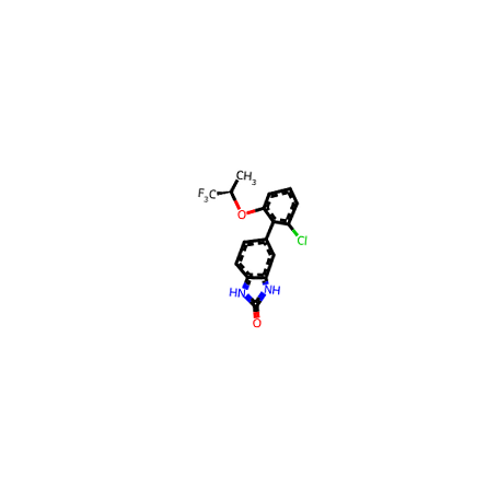 C[C@@H](Oc1cccc(Cl)c1-c1ccc2[nH]c(=O)[nH]c2c1)C(F)(F)F